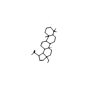 C=C(C)C1CCC2(CO)CC[C@]3(C)C(CCC4C5(C)CC[C@H](O)C(C)(C)C5CC[C@]43C)C12